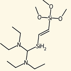 CCN(CC)C([SiH2]C=C[Si](OC)(OC)OC)N(CC)CC